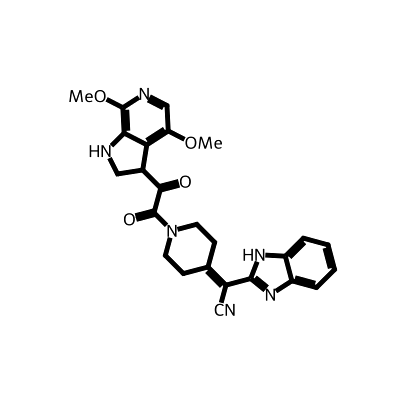 COc1cnc(OC)c2c1C(C(=O)C(=O)N1CCC(=C(C#N)c3nc4ccccc4[nH]3)CC1)CN2